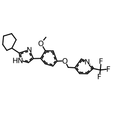 COc1cc(OCc2ccc(C(F)(F)F)nc2)ccc1-c1c[nH]c(C2CCCCC2)n1